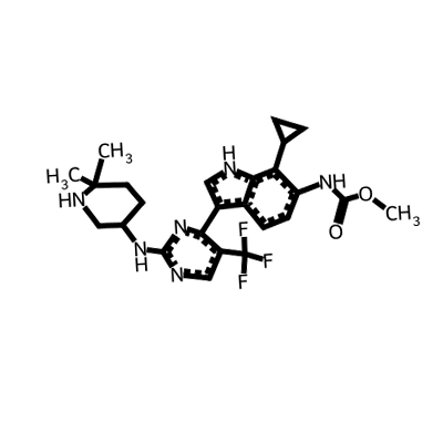 COC(=O)Nc1ccc2c(-c3nc(NC4CCC(C)(C)NC4)ncc3C(F)(F)F)c[nH]c2c1C1CC1